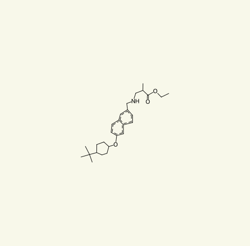 CCOC(=O)C(C)CNCc1ccc2cc(OC3CCC(C(C)(C)C)CC3)ccc2c1